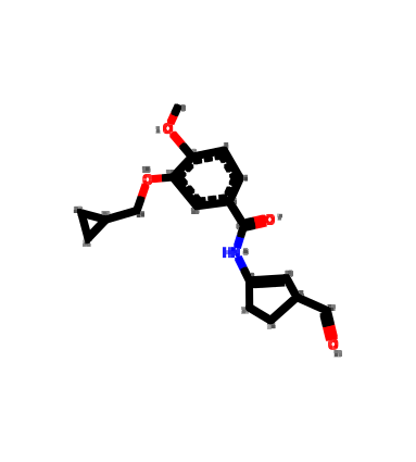 COc1ccc(C(=O)NC2=CC(C=O)CC2)cc1OCC1CC1